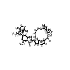 COc1cc(C(=O)N2[C@H]3CC[C@@H]2[C@H](N)C3)cc2nc(-c3cc4ccc5nc4n3CCCCO[C@H]3C[C@@H]3C(=O)N[C@@H]5C)n(C)c12